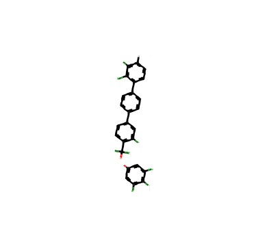 Cc1ccc(-c2ccc(-c3ccc(C(F)(F)Oc4cc(F)c(F)c(F)c4)c(F)c3)cc2)c(Cl)c1F